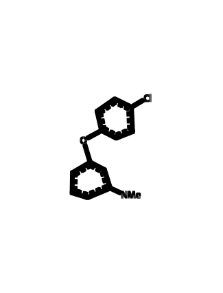 CNc1cccc(Oc2ccc(Cl)cc2)c1